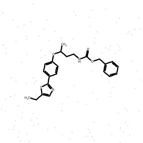 CCc1cnc(-c2ccc(OC(C)CCNC(=O)OCc3ccccc3)cc2)s1